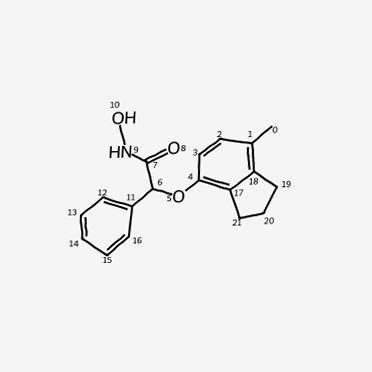 Cc1ccc(OC(C(=O)NO)c2ccccc2)c2c1CCC2